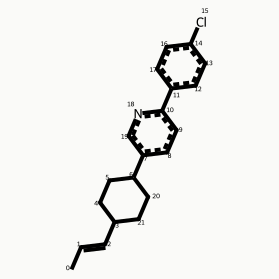 C/C=C/C1CCC(c2ccc(-c3ccc(Cl)cc3)nc2)CC1